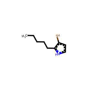 CCCCCc1[nH]ccc1S